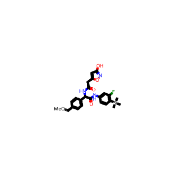 COCc1ccc(C(NC(=O)Cc2cc(O)no2)C(=O)Nc2ccc([Si](C)(C)C)c(F)c2)cc1